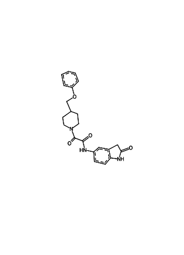 O=C1Cc2cc(NC(=O)C(=O)N3CCC(COc4ccccc4)CC3)ccc2N1